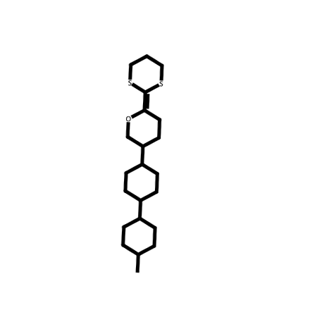 CC1CCC(C2CCC(C3CCC(=C4SCCCS4)OC3)CC2)CC1